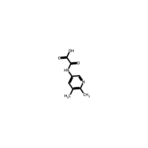 Cc1cc(NC(=O)C(=O)O)cnc1C